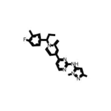 C=C/C=C(\C=C/N(C)C(CC)c1ccc(F)c(C)c1)c1ccnc(Nc2cc(C)nn2C)n1